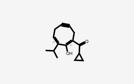 CC(C)C1=C/CC#CC/C(C(=O)C2CC2)=C\1O